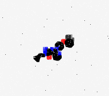 CC(C)(/N=C(\c1ccccn1)N1CCC(Oc2ccccc2C(F)(F)F)CC1)C(=O)NCCC1CC1